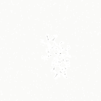 C=C(C(=O)[C@H](O)[C@@H](C)[C@H]1[C@@H](C)C[C@@]2(C)[C@@H]3CC[C@H]4[C@H](C)C(=O)C=C[C@@]45C[C@@]35CC[C@]12C)[C@@H](C)COCOC(C)=O